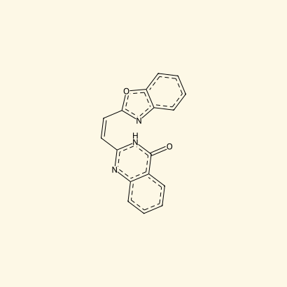 O=c1[nH]c(/C=C\c2nc3ccccc3o2)nc2ccccc12